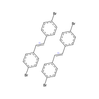 Brc1ccc(/C=C/c2ccc(Br)cc2)cc1.Brc1ccc(/C=C/c2ccc(Br)cc2)cc1